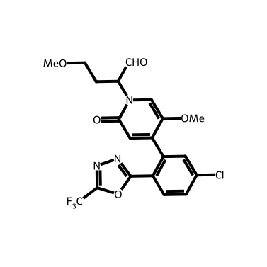 COCCC(C=O)n1cc(OC)c(-c2cc(Cl)ccc2-c2nnc(C(F)(F)F)o2)cc1=O